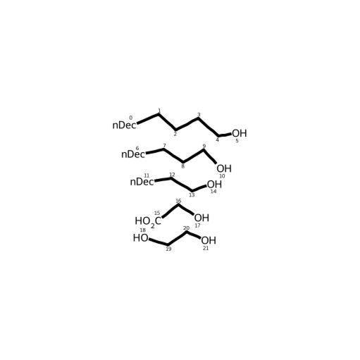 CCCCCCCCCCCCCCO.CCCCCCCCCCCCCO.CCCCCCCCCCCCO.O=C(O)CO.OCCO